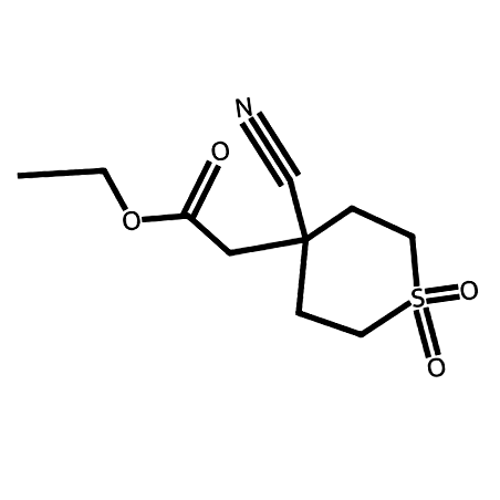 CCOC(=O)CC1(C#N)CCS(=O)(=O)CC1